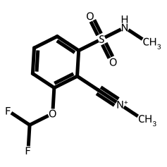 C[N+]#Cc1c(OC(F)F)cccc1S(=O)(=O)NC